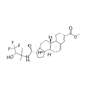 COC(=O)C1=CC2=CC[C@H]3[C@@H]4CC[C@H](C(=O)NC(C)(C)C(O)C(F)(F)F)[C@@]4(C)CC[C@@H]3[C@@]2(C)CC1